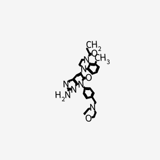 C=CC(=O)N1CCN(c2cc3cnc(N)nc3n(-c3ccc(CN4CCOCC4)cc3)c2=O)c2cccc(C)c21